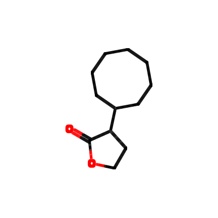 O=C1OCCC1C1CCCCCCC1